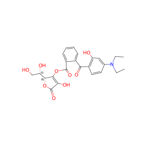 CCN(CC)c1ccc(C(=O)c2ccccc2C(=O)OC2=C(O)C(=O)O[C@@H]2[C@@H](O)CO)c(O)c1